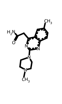 Cc1ccc2nc(N3CCN(C)CC3)nc(CC(N)=O)c2c1